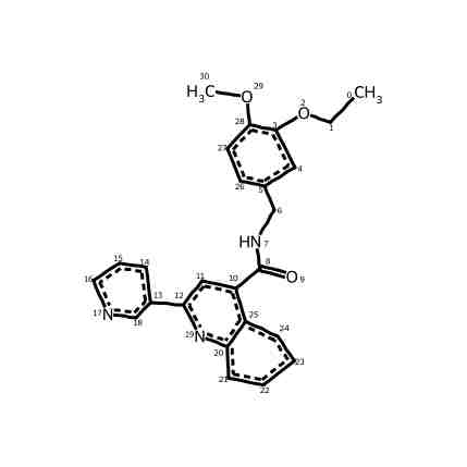 CCOc1cc(CNC(=O)c2cc(-c3cccnc3)nc3ccccc23)ccc1OC